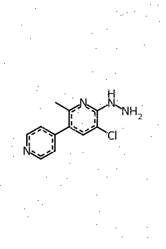 Cc1nc(NN)c(Cl)cc1-c1ccncc1